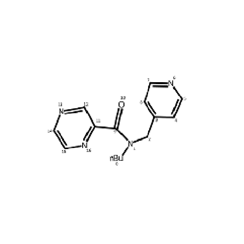 CCCCN(Cc1ccncc1)C(=O)c1cnccn1